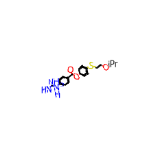 CC(C)OCCSc1ccc(OC(=O)c2ccc(NC(=N)N)cc2)cc1